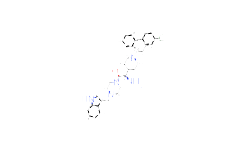 N[C@@H](C(=O)N1CCN(Cc2c[nH]c3ccccc23)CC1)C1CCN(CCc2cc(Cl)ccc2-c2ccccc2)CC1